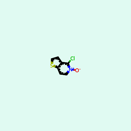 [O-][n+]1ccc2sccc2c1Cl